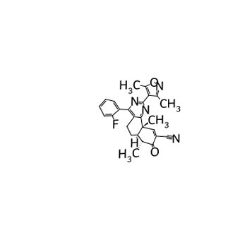 Cc1noc(C)c1-c1nc(-c2ccccc2F)c2c(n1)[C@]1(C)C=C(C#N)C(=O)[C@H](C)[C@H]1CC2